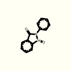 O=C1c2ccccc2[Se](=O)N1c1ccccc1